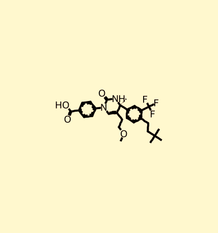 COCCC1=CN(c2ccc(C(=O)O)cc2)C(=O)N[C@@]1(C)c1ccc(CCC(C)(C)C)c(C(F)(F)F)c1